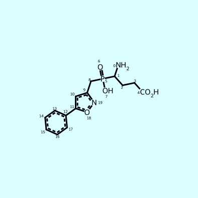 NC(CCC(=O)O)P(=O)(O)Cc1cc(-c2ccccc2)on1